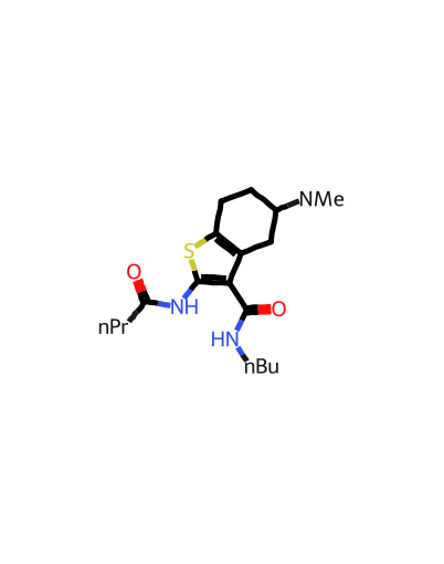 CCCCNC(=O)c1c(NC(=O)CCC)sc2c1CC(NC)CC2